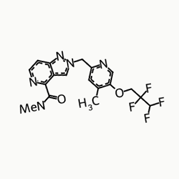 CNC(=O)c1nccc2nn(Cc3cc(C)c(OCC(F)(F)C(F)F)cn3)cc12